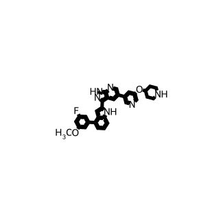 COc1cc(F)cc(-c2cccc3[nH]c(-c4n[nH]c5ncc(-c6cncc(OC7CCNCC7)c6)cc45)cc23)c1